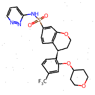 O=S(=O)(Nc1cccnn1)c1ccc2c(c1)OCC[C@H]2c1ccc(C(F)(F)F)cc1OC1CCOCC1